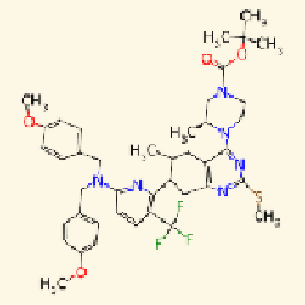 COc1ccc(CN(Cc2ccc(OC)cc2)c2ccc(C(F)(F)F)c(C3Cc4nc(SC)nc(N5CCN(C(=O)OC(C)(C)C)C[C@@H]5C)c4CC3C)n2)cc1